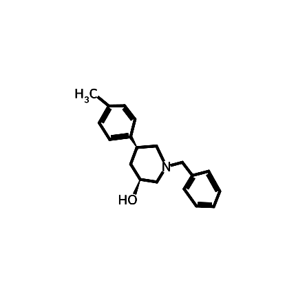 Cc1ccc([C@@H]2C[C@H](O)CN(Cc3ccccc3)C2)cc1